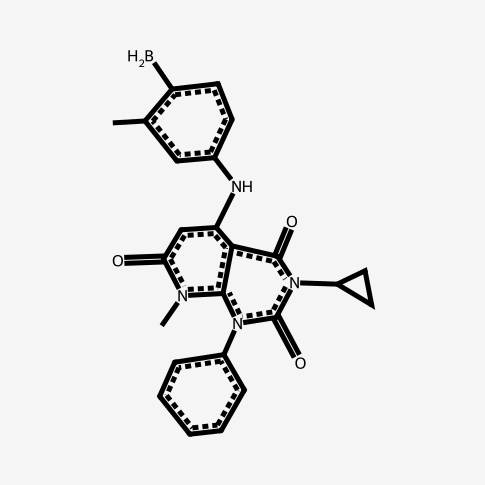 Bc1ccc(Nc2cc(=O)n(C)c3c2c(=O)n(C2CC2)c(=O)n3-c2ccccc2)cc1C